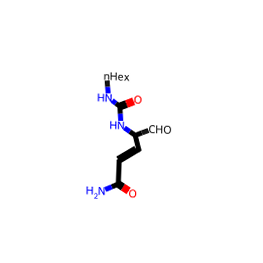 CCCCCCNC(=O)NC(C=O)/C=C/C(N)=O